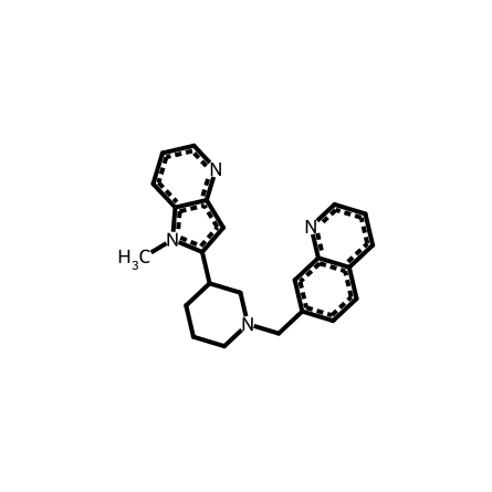 Cn1c(C2CCCN(Cc3ccc4cccnc4c3)C2)cc2ncccc21